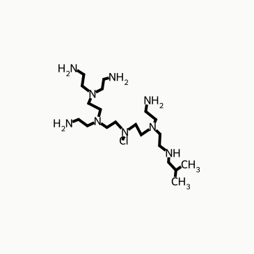 CC(C)CNCCN(CCN)CCN(Cl)CCN(CCN)CCN(CCN)CCN